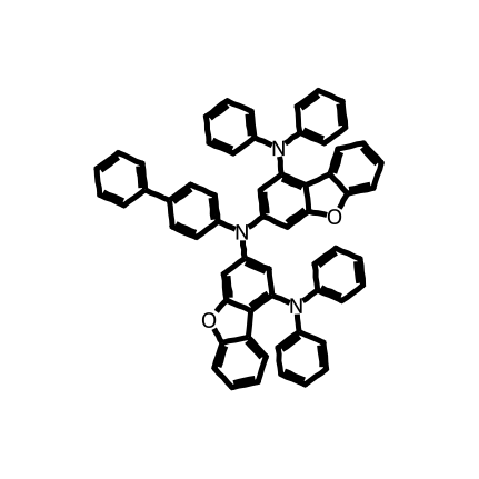 c1ccc(-c2ccc(N(c3cc(N(c4ccccc4)c4ccccc4)c4c(c3)oc3ccccc34)c3cc(N(c4ccccc4)c4ccccc4)c4c(c3)oc3ccccc34)cc2)cc1